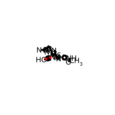 CC(=O)N[C@H]1CC[C@H](c2nnc(-c3cnc(-c4ccc5cc(C#N)cnn45)cc3NC34CCC(O)(CC3)CC4)s2)CC1